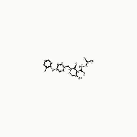 Cc1ccccc1Oc1ccc(CN2CCC(O)=C(C(=O)NCC(=O)O)C2=O)cn1